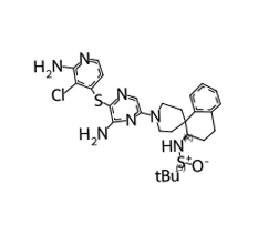 CC(C)(C)[S@@+]([O-])N[C@@H]1CCc2ccccc2C12CCN(c1cnc(Sc3ccnc(N)c3Cl)c(N)n1)CC2